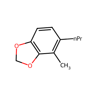 CCCc1ccc2c(c1C)OCO2